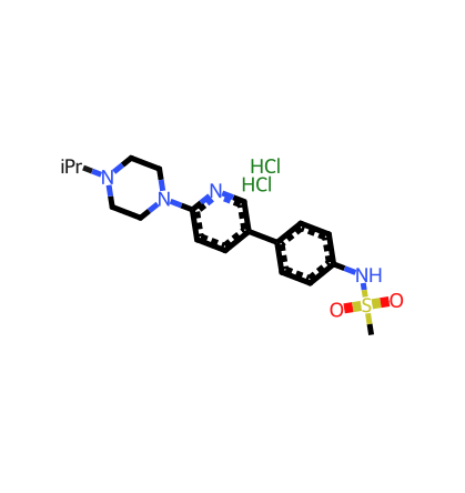 CC(C)N1CCN(c2ccc(-c3ccc(NS(C)(=O)=O)cc3)cn2)CC1.Cl.Cl